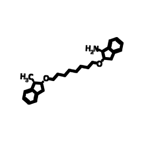 C[C@H]1c2ccccc2C[C@H]1OCCCCCCCCO[C@@H]1Cc2ccccc2[C@@H]1N